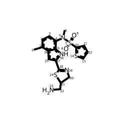 Cc1ccc(N(C)S(=O)(=O)c2cccs2)c2[nH]c(C3=NCC(CN)S3)cc12